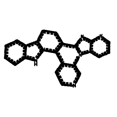 c1ccc2c(c1)[nH]c1c2ccc2c1c1ccncc1n1c3cccnc3nc21